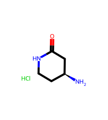 Cl.N[C@H]1CCNC(=O)C1